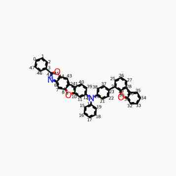 c1ccc(-c2nc3cc4oc5cc(N(c6ccccc6)c6ccc(-c7cccc8c7oc7ccccc78)cc6)ccc5c4cc3o2)cc1